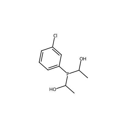 CC(O)P(c1cccc(Cl)c1)C(C)O